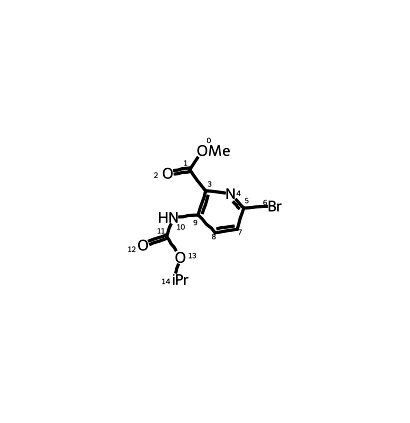 COC(=O)c1nc(Br)ccc1NC(=O)OC(C)C